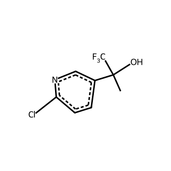 CC(O)(c1ccc(Cl)nc1)C(F)(F)F